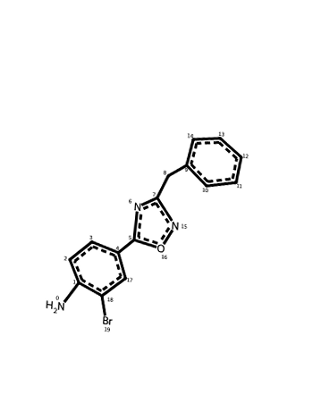 Nc1ccc(-c2nc(Cc3ccccc3)no2)cc1Br